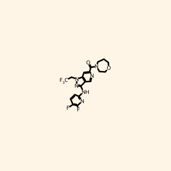 O=C(c1cc2c(cn1)c(Nc1ccc(F)c(F)n1)nn2CC(F)(F)F)N1CCCOCC1